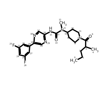 CCCC(C)C(=O)N1CCC(N(C)C(=O)Nc2cnc(-c3cc(F)cc(F)c3)cn2)CC1